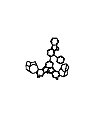 c1ccc(-c2c(-c3cc4c5c6c(ncc5n5c7cnc8c(c7c(c3)c45)C3CC4CC5CC8CC54C3)C3CC4CC(C3)CC6C4)ccc3c2oc2ccccc23)cc1